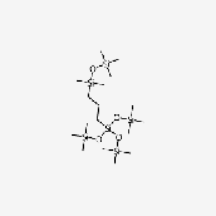 C[Si](C)(C)O[Si](C)(C)CCC[Si](O[Si](C)(C)C)(O[Si](C)(C)C)O[Si](C)(C)C